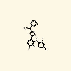 CCc1ccc(Nc2c(-c3nnc(C(N)c4cccnc4)o3)ccc(F)c2F)c(F)c1